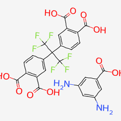 Nc1cc(N)cc(C(=O)O)c1.O=C(O)c1ccc(C(c2ccc(C(=O)O)c(C(=O)O)c2)(C(F)(F)F)C(F)(F)F)cc1C(=O)O